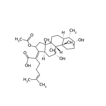 CC(=O)OC1C[C@@]2(C)[C@@H](C[C@@H](O)[C@H]3[C@@]4(C)CC[C@@H](O)[C@@H](C)[C@@H]4CC[C@@]32C)/C1=C(\CCC=C(C)C)C(=O)O